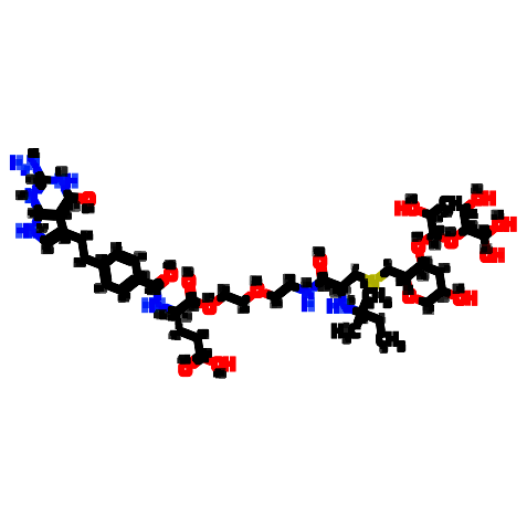 CCC(C)(C)N[C@H](CSCC1OCC(O)C[C@@H]1O[C@H](OC(CO)C(O)O)C(C)O)C(=O)NCCOCCOC(=O)[C@H](CCC(=O)O)NC(=O)c1ccc(CCc2c[nH]c3nc(N)[nH]c(=O)c23)cc1